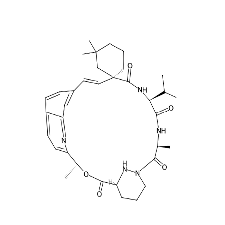 CC(C)[C@@H]1NC(=O)[C@]2(/C=C/c3ccc4ccc(nc4c3)[C@@H](C)OC(=O)[C@@H]3CCCN(N3)C(=O)[C@H](C)NC1=O)CCCC(C)(C)C2